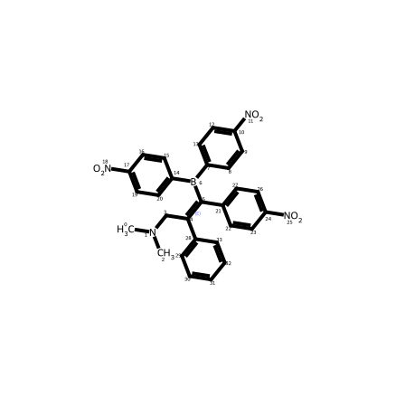 CN(C)C/C(=C(\B(c1ccc([N+](=O)[O-])cc1)c1ccc([N+](=O)[O-])cc1)c1ccc([N+](=O)[O-])cc1)c1ccccc1